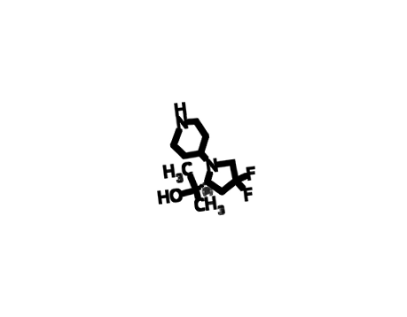 CC(C)(O)[C@H]1CC(F)(F)CN1C1CCNCC1